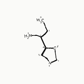 CCC(N)C1C[N]CO1